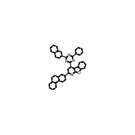 c1ccc(-c2nc(-c3ccc4ccccc4c3)nc(-c3cc(-c4ccc5c(ccc6ccccc65)c4)nc4oc5ccccc5c34)n2)cc1